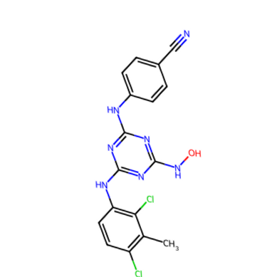 Cc1c(Cl)ccc(Nc2nc(NO)nc(Nc3ccc(C#N)cc3)n2)c1Cl